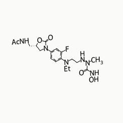 CCN(CCNN(C)C(=O)NO)c1ccc(N2C[C@H](CNC(C)=O)OC2=O)cc1F